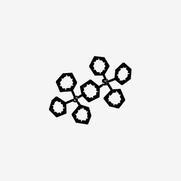 c1ccc([Si](c2ccccc2)(c2ccccc2)c2ccc(S(c3ccccc3)(c3ccccc3)c3ccccc3)cc2)cc1